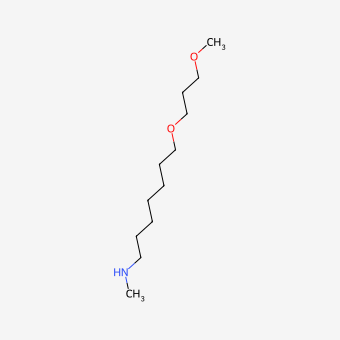 CNCCCCCCCOCCCOC